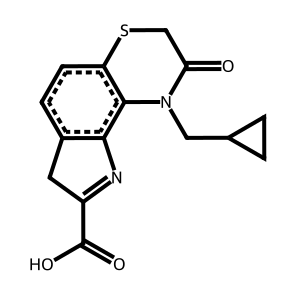 O=C(O)C1=Nc2c(ccc3c2N(CC2CC2)C(=O)CS3)C1